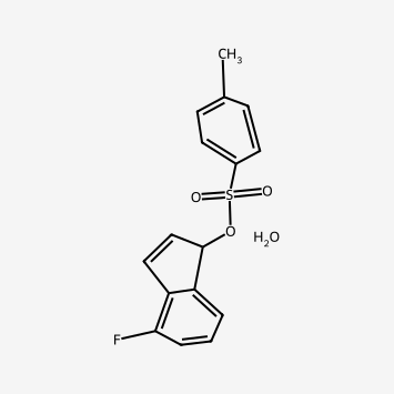 Cc1ccc(S(=O)(=O)OC2C=Cc3c(F)cccc32)cc1.O